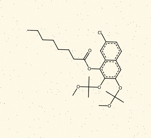 CCCCCCCC(=O)Oc1c(OC(C)(C)OC)c(OC(C)(C)OC)cc2ccc(Cl)cc12